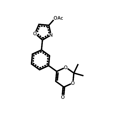 CC(=O)Oc1coc(-c2cccc(C3=CC(=O)OC(C)(C)O3)c2)n1